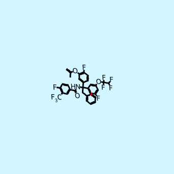 C=C(C)Oc1cc(C(Cc2ccccc2)(NC(=O)c2ccc(F)c(C(F)(F)F)c2)c2cc(F)cc(OC(F)(F)C(F)F)c2)ccc1F